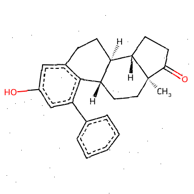 C[C@]12CC[C@@H]3c4c(cc(O)cc4-c4cc[c]cc4)CC[C@H]3[C@@H]1CCC2=O